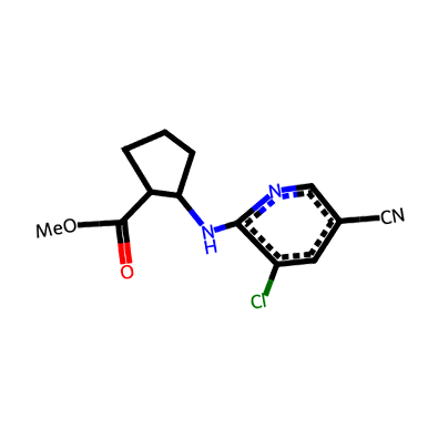 COC(=O)C1CCCC1Nc1ncc(C#N)cc1Cl